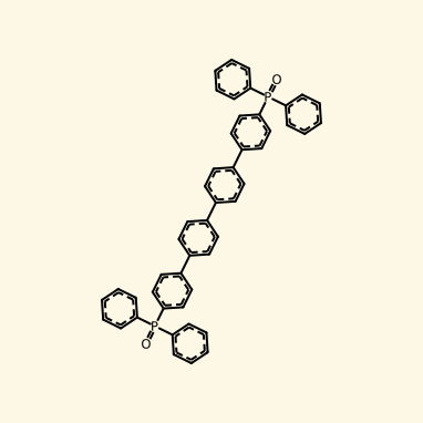 O=P(c1ccccc1)(c1ccccc1)c1ccc(-c2ccc(-c3ccc(-c4ccc(P(=O)(c5ccccc5)c5ccccc5)cc4)cc3)cc2)cc1